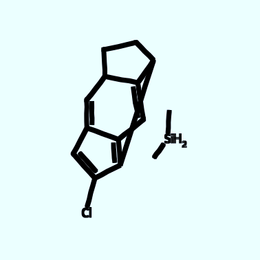 C[SiH2]C.ClC1=CC2=CC3CCC4C3=CC2=C14